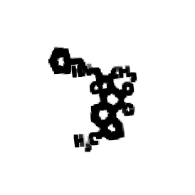 Cc1c(CNCc2ccccc2)oc2c1C(=O)C(=O)c1c-2ccc2c(C)cccc12